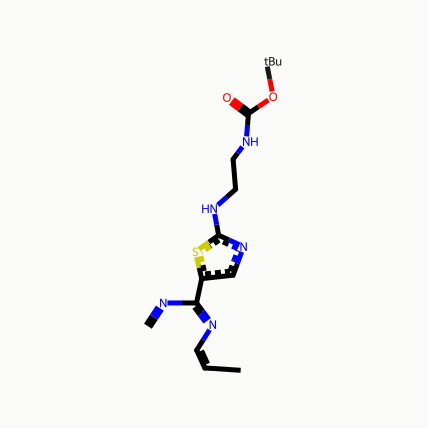 C=N/C(=N\C=C/C)c1cnc(NCCNC(=O)OC(C)(C)C)s1